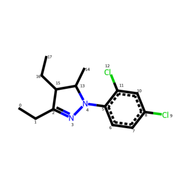 CCC1=NN(c2ccc(Cl)cc2Cl)C(C)C1CC